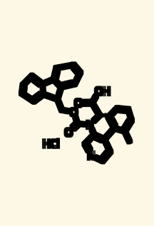 Cc1ccccc1-c1ccncc1N(C(=O)OCC1c2ccccc2-c2ccccc21)[C@@H](C)C(=O)O.Cl